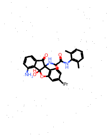 Cc1cccc(C)c1NC(=O)C(=O)NC12C(=O)c3cccc(N)c3C1(O)Oc1cc(C(C)C)ccc12